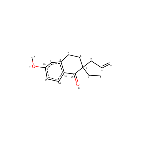 C=CCC1(CC)CCc2cc(OC)ccc2C1=O